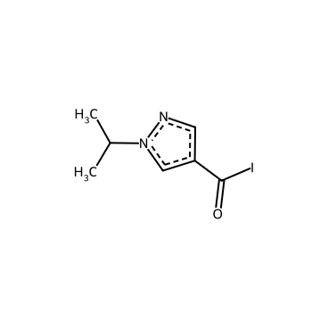 CC(C)n1cc(C(=O)I)cn1